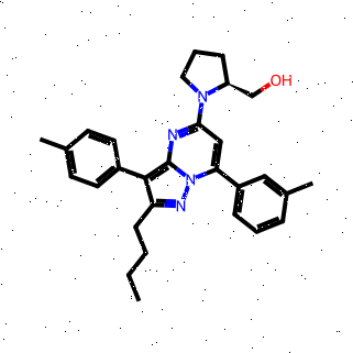 CCCCc1nn2c(-c3cccc(C)c3)cc(N3CCC[C@H]3CO)nc2c1-c1ccc(C)cc1